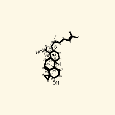 CC(C)=CCC[C@@H](C)[C@H]1C[C@H](O)[C@H]2[C@@H]3CC=C4C5(CC5)[C@@H](O)CC[C@]4(C)[C@H]3CC[C@@]21C